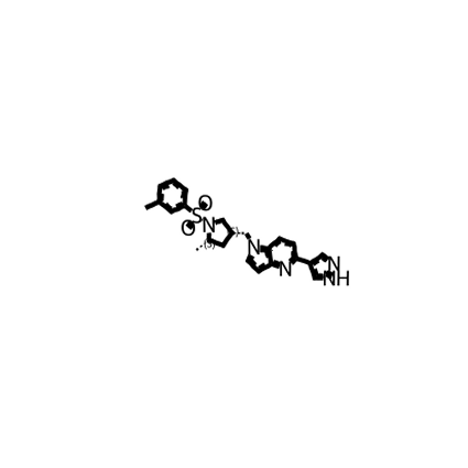 Cc1cccc(S(=O)(=O)N2C[C@H](Cn3ccc4nc(-c5cn[nH]c5)ccc43)C[C@@H]2C)c1